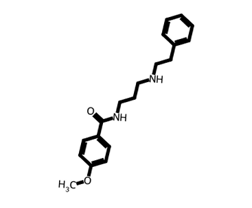 COc1ccc(C(=O)NCCCNCCc2ccccc2)cc1